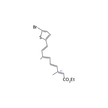 CCOC(=O)/C=C(\C)C=CC=C(C)C=Cc1ccc(Br)s1